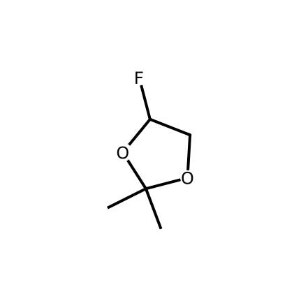 CC1(C)OCC(F)O1